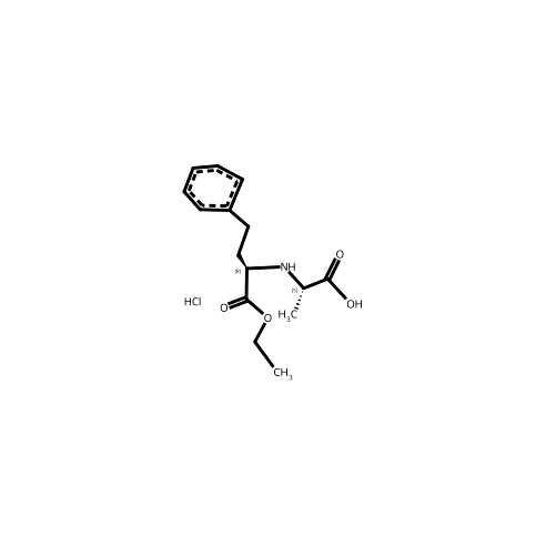 CCOC(=O)[C@@H](CCc1ccccc1)N[C@@H](C)C(=O)O.Cl